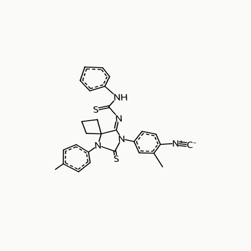 [C-]#[N+]c1ccc(N2C(=S)N(c3ccc(C)cc3)C3(CCC3)C2=NC(=S)Nc2ccccc2)cc1C